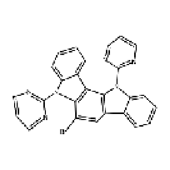 Brc1cc2c3ccccc3n(-c3ncccn3)c2c2c3ccccc3n(-c3ncccn3)c12